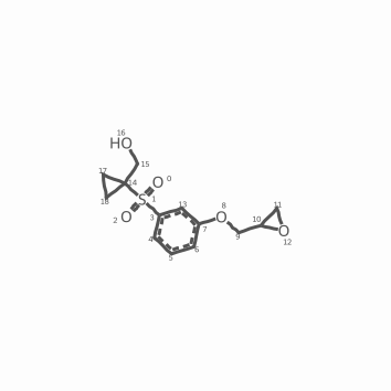 O=S(=O)(c1cccc(OCC2CO2)c1)C1(CO)CC1